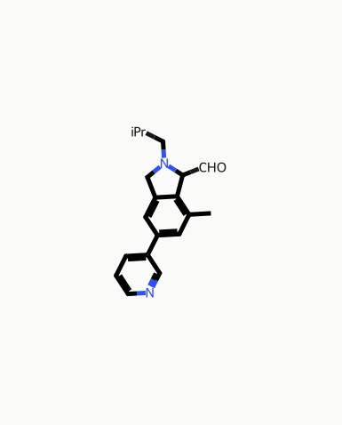 Cc1cc(-c2cccnc2)cc2c1C(C=O)N(CC(C)C)C2